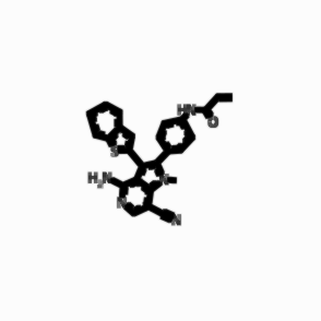 C=CC(=O)Nc1ccc(-c2c(-c3cc4ccccc4s3)c3c(N)ncc(C#N)c3n2C)cc1